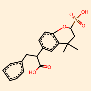 CC1(C)CC(S(=O)(=O)O)Oc2ccc(C(Cc3ccccc3)C(=O)O)cc21